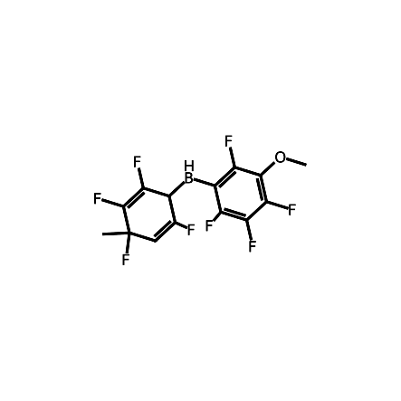 COc1c(F)c(F)c(F)c(BC2C(F)=CC(C)(F)C(F)=C2F)c1F